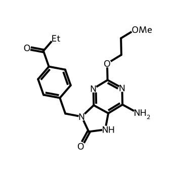 CCC(=O)c1ccc(Cn2c(=O)[nH]c3c(N)nc(OCCOC)nc32)cc1